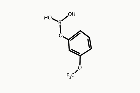 OB(O)Oc1cccc(OC(F)(F)F)c1